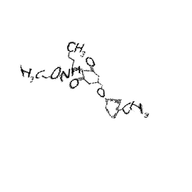 CCCC(NOCC)=C1C(=O)CC(COc2ccc(C)cc2)CC1=O